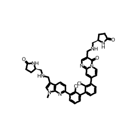 Cn1cc(CNC[C@H]2CCC(=O)N2)c2ccc(-c3cccc(-c4cccc(-c5ccn6c(=O)c(CNC[C@H]7CCC(=O)N7)cnc6c5)c4Cl)c3Cl)nc21